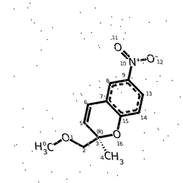 COC[C@@]1(C)C=Cc2cc([N+](=O)[O-])ccc2O1